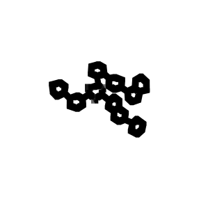 c1ccc(-c2cccc(-c3nc(-c4ccc5cc(-c6ccccc6)ccc5c4)nc(-c4ccccc4-c4ccc(-c5cccc6ccccc56)cc4)n3)c2)cc1